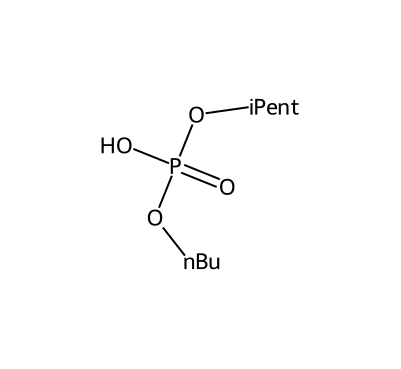 CCCCOP(=O)(O)OC(C)CCC